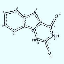 O=c1[nH]c(=O)c2sc3ccccc3c2[nH]1